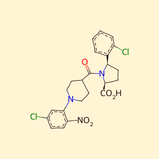 O=C(O)[C@@H]1CC[C@H](c2ccccc2Cl)N1C(=O)C1CCN(c2cc(Cl)ccc2[N+](=O)[O-])CC1